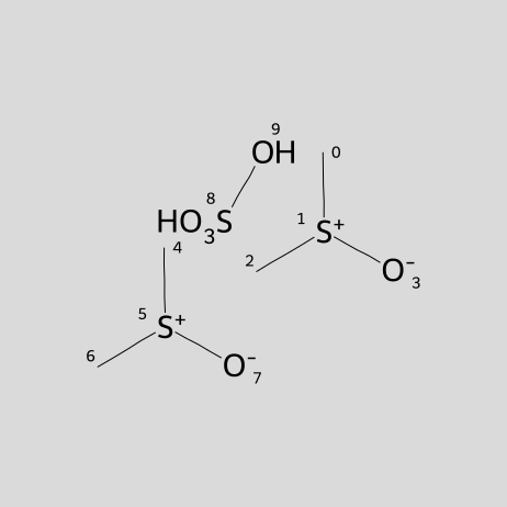 C[S+](C)[O-].C[S+](C)[O-].O=S(=O)(O)O